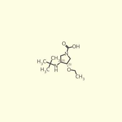 CCO[C@H]1CN(C(=O)O)C[C@@H]1NC(C)(C)C